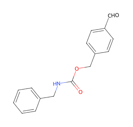 O=Cc1ccc(COC(=O)NCc2ccccc2)cc1